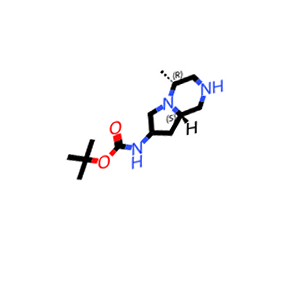 C[C@@H]1CNC[C@@H]2CC(NC(=O)OC(C)(C)C)CN21